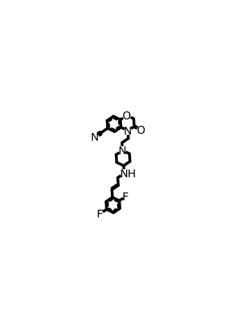 N#Cc1ccc2c(c1)N(CCN1CCC(NCC=Cc3cc(F)ccc3F)CC1)C(=O)CO2